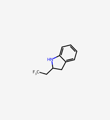 FC(F)(F)CC1Cc2ccccc2N1